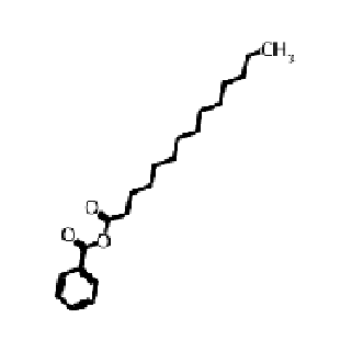 CCCCCCCCCCCCCC(=O)OC(=O)c1ccccc1